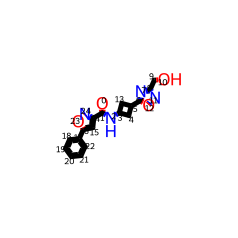 O=C(NC1CC(c2nc(CO)no2)C1)c1cc(-c2ccccc2)on1